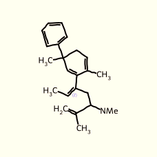 C=C(C)C(C/C(=C/C)C1=CC(C)(c2ccccc2)CC=C1C)NC